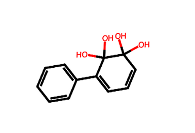 OC1(O)C=CC=C(c2ccccc2)C1(O)O